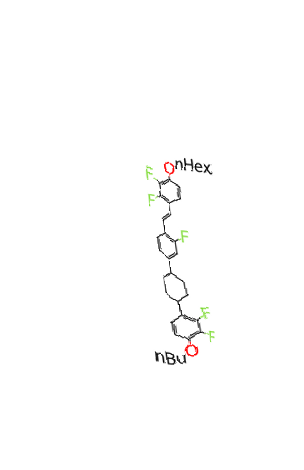 CCCCCCOc1ccc(/C=C/c2ccc(C3CCC(c4ccc(OCCCC)c(F)c4F)CC3)cc2F)c(F)c1F